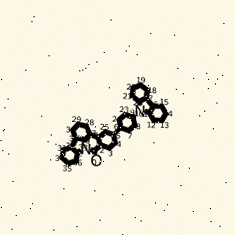 O=c1c2ccc(-c3ccc(-n4c5ccccc5c5ccccc54)cc3)cc2c2cccc3c4ccccc4n1c23